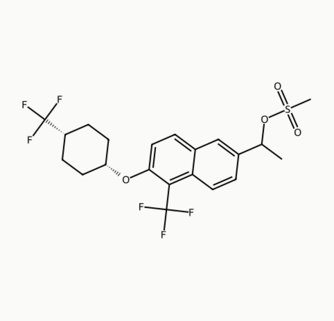 CC(OS(C)(=O)=O)c1ccc2c(C(F)(F)F)c(O[C@H]3CC[C@@H](C(F)(F)F)CC3)ccc2c1